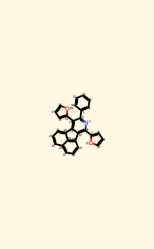 c1ccc(-c2nc(-c3ccco3)c3c(c2-c2ccco2)-c2cccc4cccc-3c24)cc1